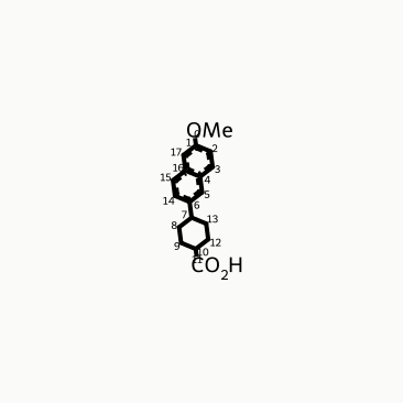 COc1ccc2cc(C3CCC(C(=O)O)CC3)ccc2c1